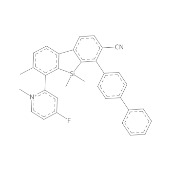 Cc1ccc2c(c1-c1cc(F)cc[n+]1C)[Si](C)(C)c1c-2ccc(C#N)c1-c1ccc(-c2ccccc2)cc1